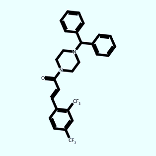 O=C(C=Cc1ccc(C(F)(F)F)cc1C(F)(F)F)N1CCN(C(c2ccccc2)c2ccccc2)CC1